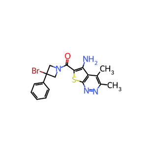 Cc1nnc2sc(C(=O)N3CC(Br)(c4ccccc4)C3)c(N)c2c1C